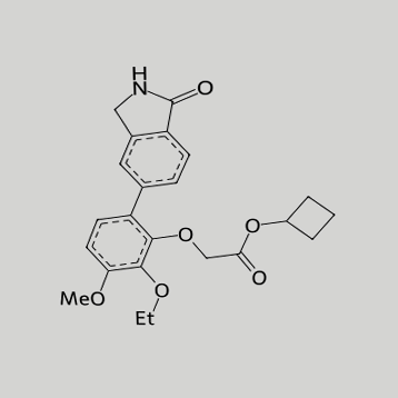 CCOc1c(OC)ccc(-c2ccc3c(c2)CNC3=O)c1OCC(=O)OC1CCC1